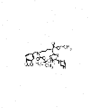 CCOC(=O)C(CCCN(Cc1ccc2c(c1)OCO2)C(=O)OC(C)(C)C)c1nc(-n2ccnc2)ns1